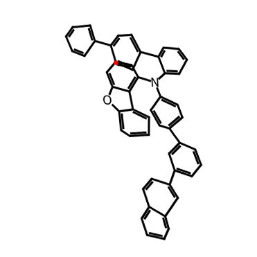 c1ccc(-c2ccc(-c3ccccc3N(c3ccc(-c4cccc(-c5ccc6ccccc6c5)c4)cc3)c3cccc4oc5ccccc5c34)cc2)cc1